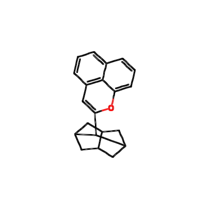 C1=C(C2C3CC4CC2CC4C3)Oc2cccc3cccc1c23